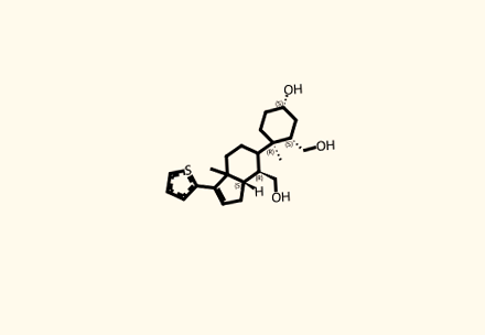 CC12CCC([C@@]3(C)CC[C@H](O)C[C@@H]3CO)[C@@H](CO)[C@@H]1CC=C2c1cccs1